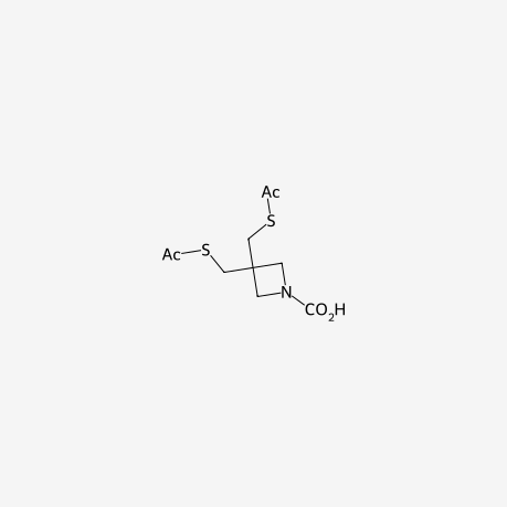 CC(=O)SCC1(CSC(C)=O)CN(C(=O)O)C1